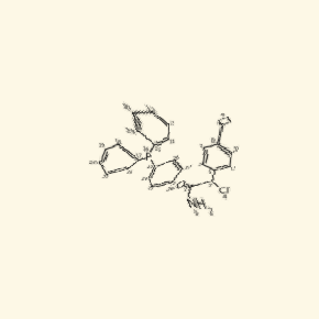 NC(=O)C(Cl)c1ccc(Cl)cc1.c1ccc(P(c2ccccc2)c2ccccc2)cc1